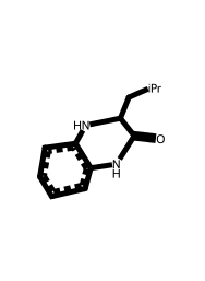 CC(C)CC1Nc2ccccc2NC1=O